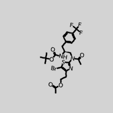 CC(=O)OCCc1nc(N(C[C@H](Cc2ccc(C(F)(F)F)cc2)NC(=O)OC(C)(C)C)C(C)=O)sc1Br